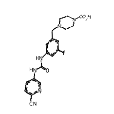 N#Cc1ccc(NC(=O)Nc2cc(F)cc(CN3CCN(C(=O)O)CC3)c2)cn1